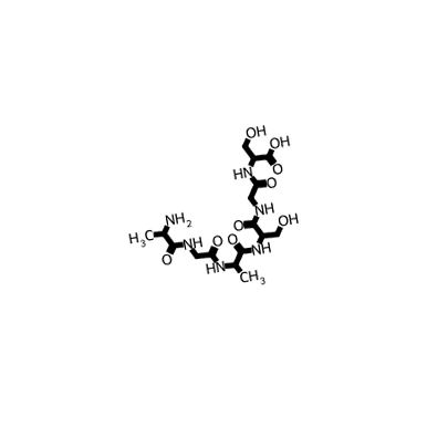 CC(N)C(=O)NCC(=O)NC(C)C(=O)NC(CO)C(=O)NCC(=O)NC(CO)C(=O)O